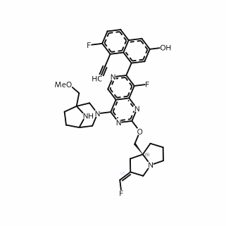 C#Cc1c(F)ccc2cc(O)cc(-c3ncc4c(N5CC6CCC(COC)(C5)N6)nc(OC[C@@]56CCCN5C/C(=C\F)C6)nc4c3F)c12